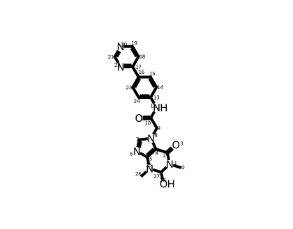 CN1C(=O)c2c(ncn2CC(=O)Nc2ccc(-c3ccncn3)cc2)N(C)C1O